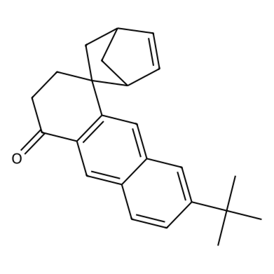 CC(C)(C)c1ccc2cc3c(cc2c1)C1(CCC3=O)CC2C=CC1C2